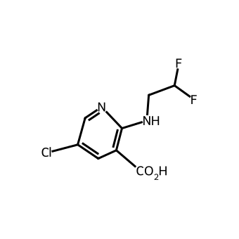 O=C(O)c1cc(Cl)cnc1NCC(F)F